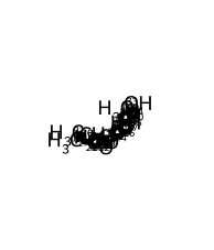 C[C@]12CC[C@@H]3c4ccc(OS(=O)(=O)c5ccc(C[N+](C)(C)C)cc5)cc4CC[C@H]3[C@@H]1CC[C@@H]2O